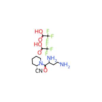 N#C[C@@H]1CCCCN1C(=O)C(N)CCN.O=C(O)C(F)(F)F.O=C(O)C(F)(F)F